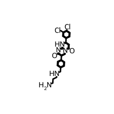 NCCCNCc1ccc(-c2cn3c(=O)cc(-c4ccc(Cl)c(Cl)c4)[nH]c3nc2=O)cc1